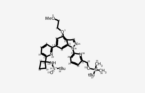 COCCOc1cc(-c2cccc(C3(N[S+]([O-])C(C)(C)C)CCC3)n2)cc2c1cnn2-c1cccc(CO[Si](C)(C)C(C)(C)C)n1